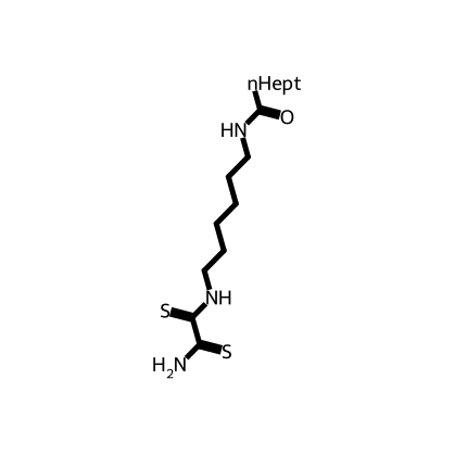 CCCCCCCC(=O)NCCCCCCNC(=S)C(N)=S